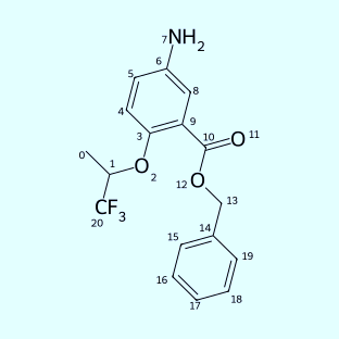 CC(Oc1ccc(N)cc1C(=O)OCc1ccccc1)C(F)(F)F